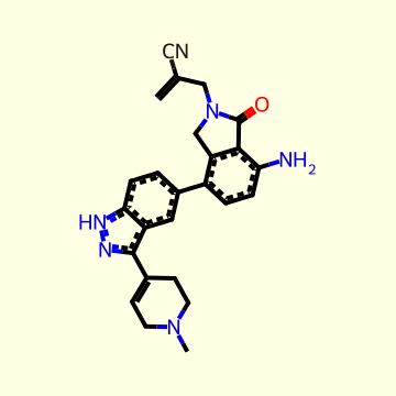 C=C(C#N)CN1Cc2c(-c3ccc4[nH]nc(C5=CCN(C)CC5)c4c3)ccc(N)c2C1=O